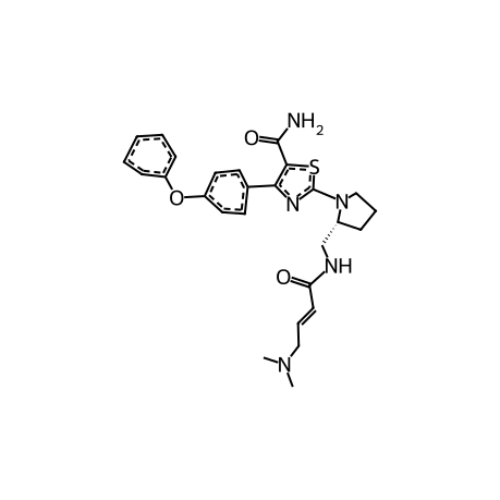 CN(C)C/C=C/C(=O)NC[C@H]1CCCN1c1nc(-c2ccc(Oc3ccccc3)cc2)c(C(N)=O)s1